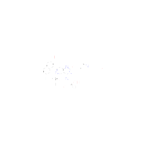 CCc1c(F)ccc2cc(O)cc(-c3nc(OC)c4c(N5CCOC[C@@](C)(O)C5)nc(OC[C@]56CCC[C@H]5N(CC5CCOCC5)CCC6)nc4c3F)c12